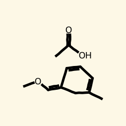 CC(=O)O.COC=C1C=CC=C(C)C1